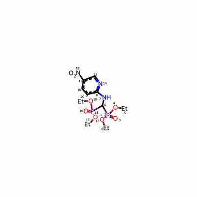 CCOP(=O)(OCC)C(Nc1ccc([N+](=O)[O-])cn1)P(=O)(OCC)OCC